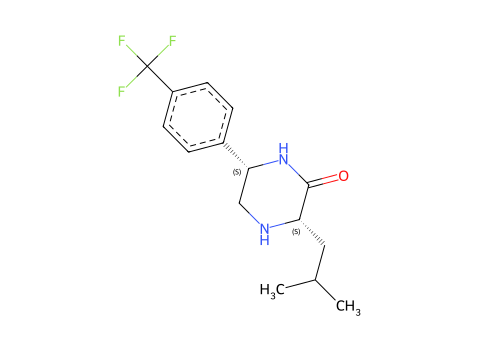 CC(C)C[C@@H]1NC[C@H](c2ccc(C(F)(F)F)cc2)NC1=O